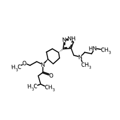 CNCCN(C)Cc1c[nH]nc1[C@H]1CC[C@H](N(CCOC)C(=O)CC(C)C)CC1